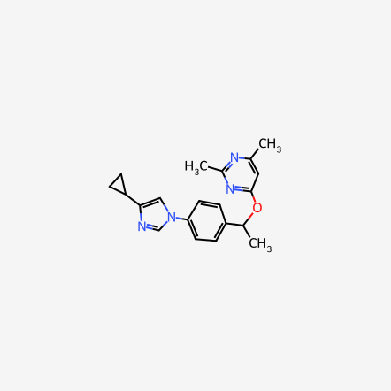 Cc1cc(OC(C)c2ccc(-n3cnc(C4CC4)c3)cc2)nc(C)n1